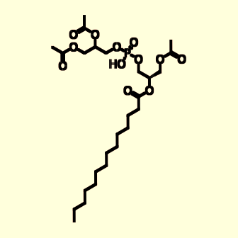 CCCCCCCCCCCCCC(=O)O[C@H](COC(C)=O)COP(=O)(O)OCC(COC(C)=O)OC(C)=O